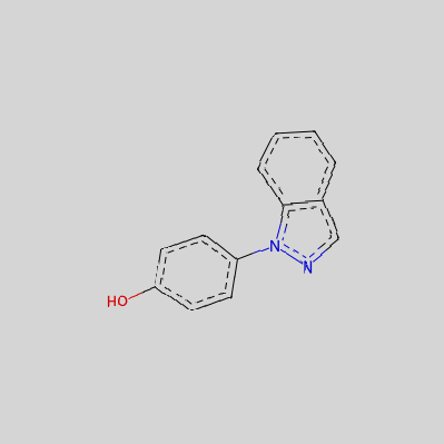 Oc1ccc(-n2ncc3ccccc32)cc1